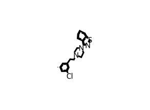 Clc1c[c]cc(CCN2CCN(c3nsc4ccccc34)CC2)c1